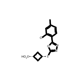 Cc1ccc(-c2nnc(S[C@H]3C[C@@H](C(=O)O)C3)o2)c(Cl)c1